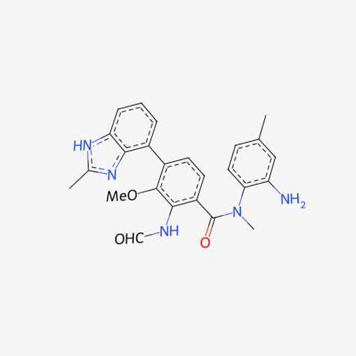 COc1c(-c2cccc3[nH]c(C)nc23)ccc(C(=O)N(C)c2ccc(C)cc2N)c1NC=O